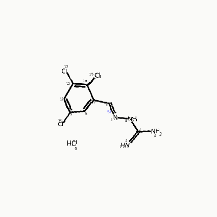 Cl.N=C(N)N/N=C/c1cc(Cl)cc(Cl)c1Cl